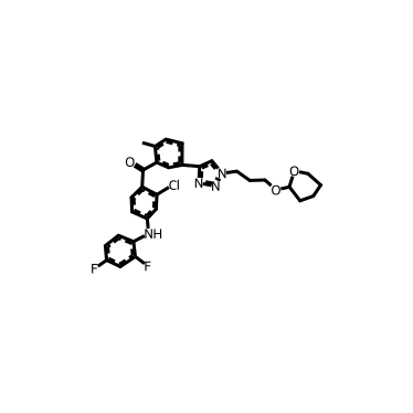 Cc1ccc(-c2cn(CCCOC3CCCCO3)nn2)cc1C(=O)c1ccc(Nc2ccc(F)cc2F)cc1Cl